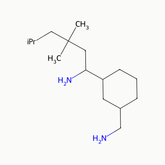 CC(C)CC(C)(C)CC(N)C1CCCC(CN)C1